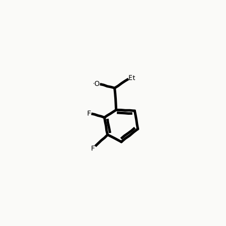 CCC([O])c1cccc(F)c1F